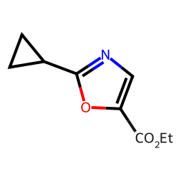 CCOC(=O)c1cnc(C2CC2)o1